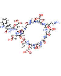 CCC(C)C1NC(=O)C(CCC(=O)O)NC(=O)C(CO)NC(=O)CNC(=O)C(CC(=O)O)NC(=O)C(CCCCN)NC(=O)C(CC(=O)O)NC(=O)C(C)NC(=O)CN(C)C(=O)C(NC(=O)C(CC(=O)O)NC(=O)C(CCC(=O)O)NC(=O)C(Cc2c[nH]c3ccccc23)NC=O)C(C)OC1=O